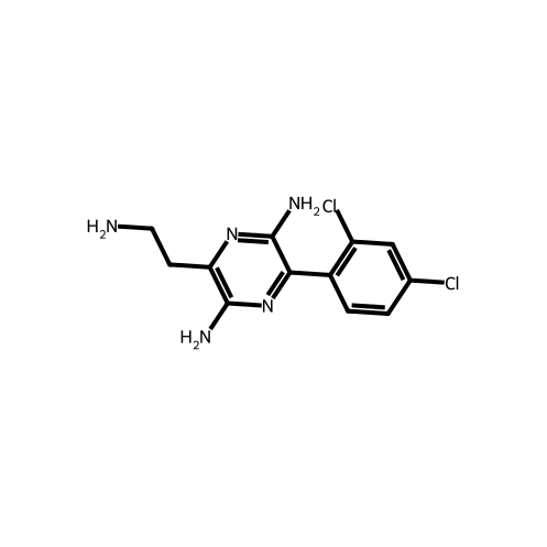 NCCc1nc(N)c(-c2ccc(Cl)cc2Cl)nc1N